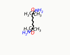 CC(C)(CCCCCCC(C)(C)C(N)=O)C(N)=O